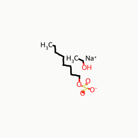 CCCCCCCCOS(=O)(=O)[O-].CCO.[Na+]